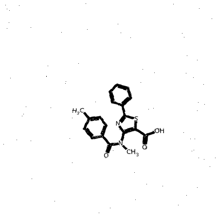 Cc1ccc(C(=O)N(C)c2nc(-c3ccccc3)sc2C(=O)O)cc1